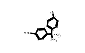 COc1ccc([C@](N)(c2ccc(Br)cc2)C(F)(F)F)cc1